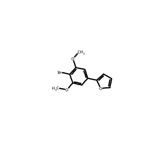 COc1cc(-c2cc[c]o2)cc(OC)c1Br